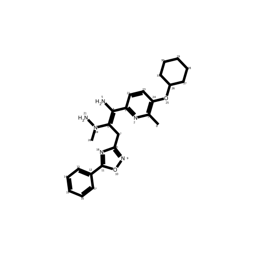 Cc1nc(/C(N)=C(\Cc2noc(-c3ccccc3)n2)N(C)N)ccc1OC1CCCCC1